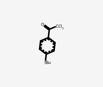 CC(C)(C)c1ccc(C(=O)C(Cl)(Cl)Cl)cc1